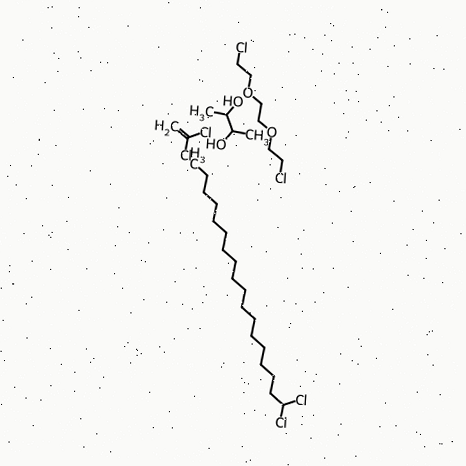 C=C(Cl)Cl.CC(O)C(C)O.CCCCCCCCCCCCCCCCCC(Cl)Cl.ClCCOCCOCCCl